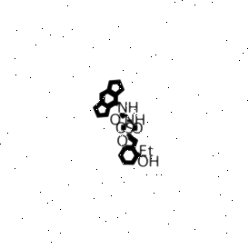 CCC1(O)CCCc2oc(S(=O)(=O)NC(=O)Nc3c4c(cc5c3CCC5)CCC4)cc21